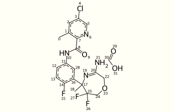 Cc1cc(Cl)cnc1C(=O)Nc1ccc(F)c(C2(C)N=C(N)COCC2(F)F)c1.O=CO